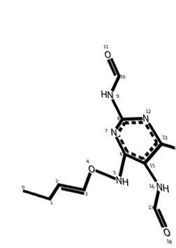 CCC=CONc1nc(NC=O)nc(Cl)c1NC=O